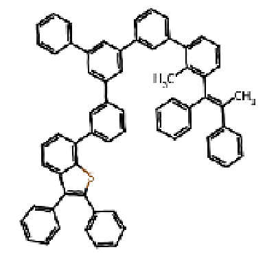 C/C(=C(/c1ccccc1)c1cccc(-c2cccc(-c3cc(-c4ccccc4)cc(-c4cccc(-c5cccc6c(-c7ccccc7)c(-c7ccccc7)sc56)c4)c3)c2)c1C)c1ccccc1